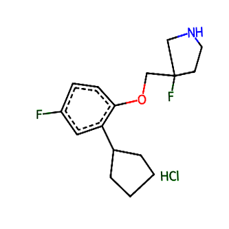 Cl.Fc1ccc(OCC2(F)CCNC2)c(C2CCCC2)c1